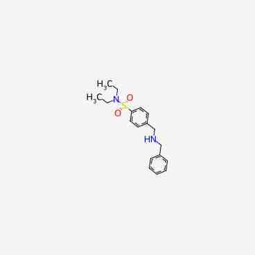 CCN(CC)S(=O)(=O)c1ccc(CNCc2ccccc2)cc1